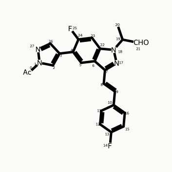 CC(=O)n1cc(-c2cc3c(/C=C/c4ccc(F)cc4)nn(C(C)C=O)c3cc2F)cn1